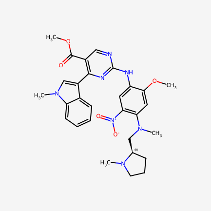 COC(=O)c1cnc(Nc2cc([N+](=O)[O-])c(N(C)C[C@H]3CCCN3C)cc2OC)nc1-c1cn(C)c2ccccc12